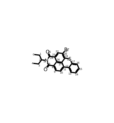 CCC(CC)n1c(=O)c2ccc3c4ccccc4sc4c(Br)cc(c1=O)c2c43